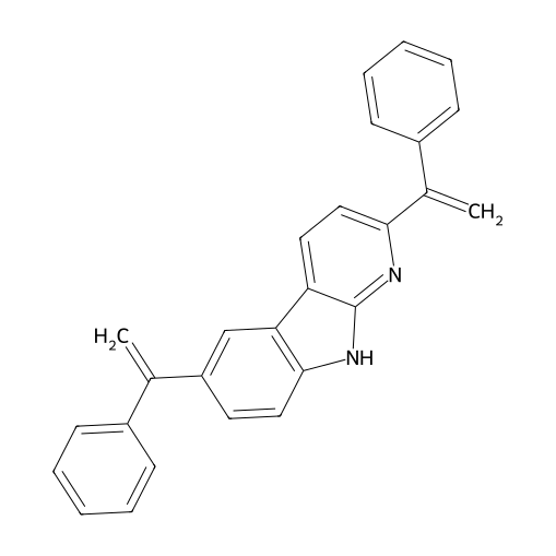 C=C(c1ccccc1)c1ccc2[nH]c3nc(C(=C)c4ccccc4)ccc3c2c1